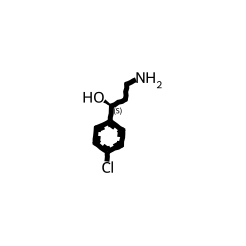 NCC[C@H](O)c1ccc(Cl)cc1